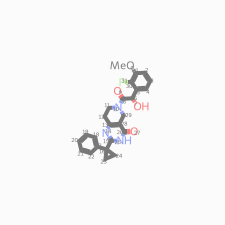 COc1cccc(C(O)C(=O)N2CCc3nc(C4(c5ccccc5)CC4)[nH]c(=O)c3C2)c1F